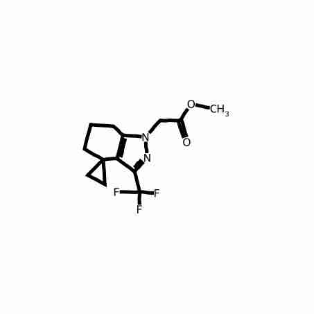 COC(=O)Cn1nc(C(F)(F)F)c2c1CCCC21CC1